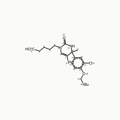 CC(C)C1=CN(CCCCC(=O)O)C(=O)NC1(C)c1ccc(OCC(C)(C)C)c(Cl)c1